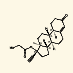 C#C[C@]1(OC(=O)CO)CC[C@H]2[C@@H]3CCC4=CC(=O)CC[C@@H]4[C@H]3CC[C@@]21C